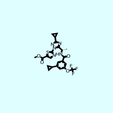 COC(=O)c1cnc(-n2nc(C3CC3)nc2[C@H](C)NC(=O)c2cc(OC(F)(F)F)cc(C3CC3)c2)s1